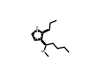 CC/C=c1\[nH]cc\c1=C(\CCCC)NC